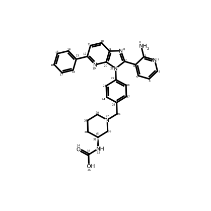 Nc1ncccc1-c1nc2ccc(-c3ccccc3)nc2n1-c1ccc(CN2CCC[C@H](NC(=O)O)C2)cc1